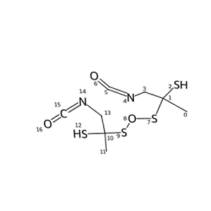 CC(S)(CN=C=O)SOSC(C)(S)CN=C=O